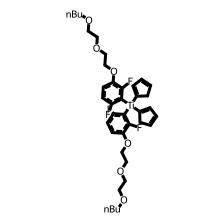 CCCCOCCOCCOc1ccc(F)[c]([Ti]([C]2=CC=CC2)([C]2=CC=CC2)[c]2c(F)ccc(OCCOCCOCCCC)c2F)c1F